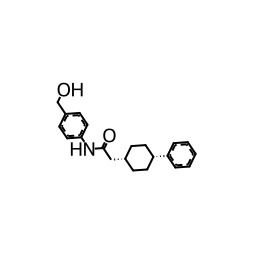 O=C(C[C@H]1CC[C@@H](c2ccccc2)CC1)Nc1ccc(CO)cc1